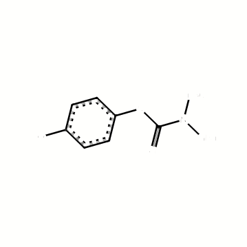 CCCCN(CCCC)C(=O)Sc1ccc(O)cc1